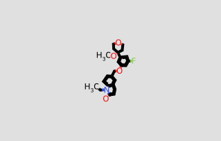 CCn1c(=O)ccc2cc(COc3cc(F)cc(C4(OC)CCOCC4)c3)ccc21